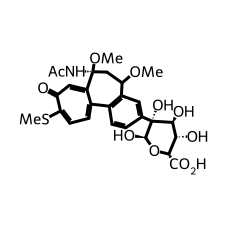 COC1C[C@](NC(C)=O)(OC)c2cc(=O)c(SC)ccc2-c2ccc([C@]3(O)[C@H](O)O[C@H](C(=O)O)[C@@H](O)[C@@H]3O)cc21